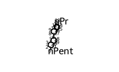 CCCCCC1CCC2CC(C3CCc4cc(CCC)ccc4C3)CCC2C1